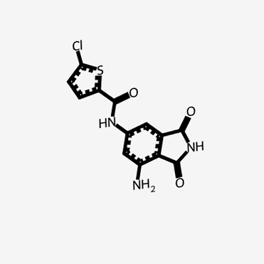 Nc1cc(NC(=O)c2ccc(Cl)s2)cc2c1C(=O)NC2=O